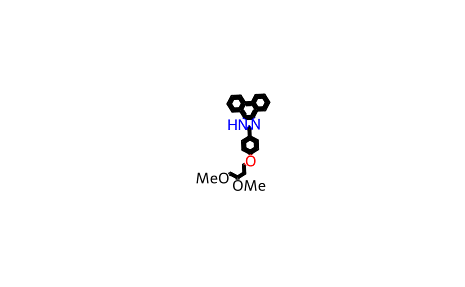 COCC(CCOc1ccc(-c2nc3c4ccccc4c4ccccc4c3[nH]2)cc1)OC